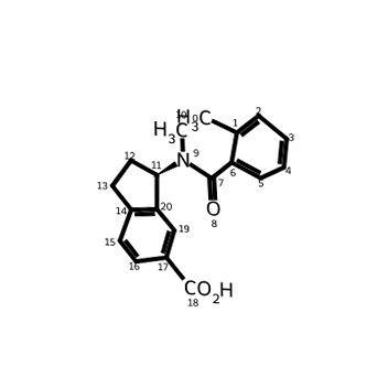 Cc1ccccc1C(=O)N(C)[C@@H]1CCc2ccc(C(=O)O)cc21